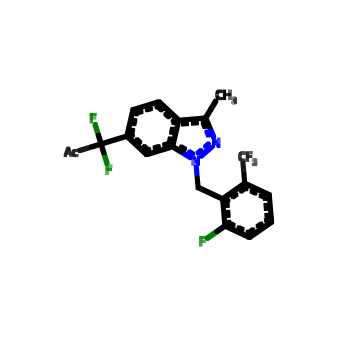 CC(=O)C(F)(F)c1ccc2c(C)nn(Cc3c(F)cccc3C(F)(F)F)c2c1